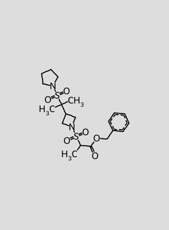 CC(C(=O)OCc1ccccc1)S(=O)(=O)N1CC(C(C)(C)S(=O)(=O)N2CCCC2)C1